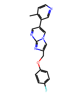 Cc1ccncc1-c1cnc2nc(COc3ccc(F)cc3)cn2c1